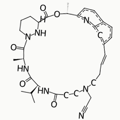 CC(C)[C@@H]1NC(=O)CCN(CC#N)CC/C=C/c2ccc3ccc(nc3c2)[C@@H](C)OC(=O)[C@@H]2CCCN(N2)C(=O)[C@H](C)NC1=O